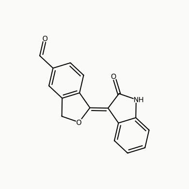 O=Cc1ccc2c(c1)CO/C2=C1/C(=O)Nc2ccccc21